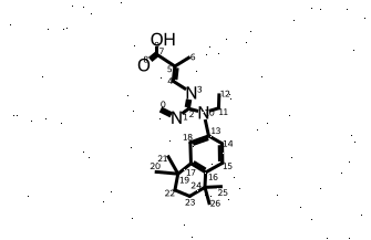 C=N/C(=N\C=C(/C)C(=O)O)N(CC)c1ccc2c(c1)C(C)(C)CCC2(C)C